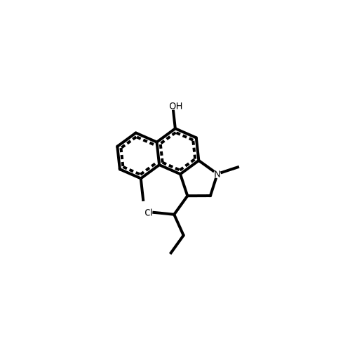 CCC(Cl)C1CN(C)c2cc(O)c3cccc(C)c3c21